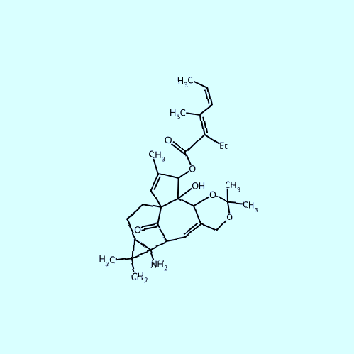 C/C=C\C(C)=C(/CC)C(=O)OC1C(C)=CC23CCC4C(C)(C)C4(N)C(C=C4COC(C)(C)OC4C12O)C3=O